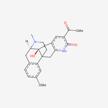 COC(=O)c1cc2c([nH]c1=O)CC13CCN(C)[C@H](Cc4ccc(OC)cc41)[C@]3(O)C2